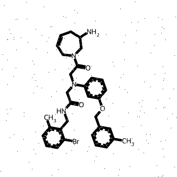 Cc1cccc(COc2cccc(N(CC(=O)NCc3c(C)cccc3Br)CC(=O)N3CC=CCC(N)C3)c2)c1